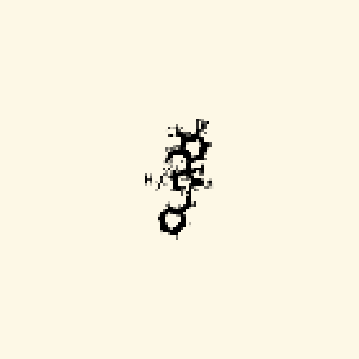 C[C@@]12CN(Cc3ccccc3)C(=O)[C@H]1c1ccc(Br)c(Cl)c1CO2